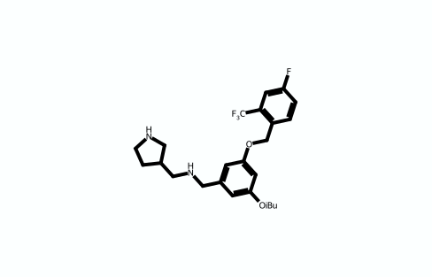 CC(C)COc1cc(CNCC2CCNC2)cc(OCc2ccc(F)cc2C(F)(F)F)c1